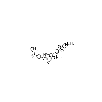 CN1CCC(S(=O)(=O)c2ccc(-c3cc4cnc(Nc5ccc(C6CN(C)CCS6)cc5)nc4n(CC4CC4)c3=O)c(C(F)(F)F)c2)CC1